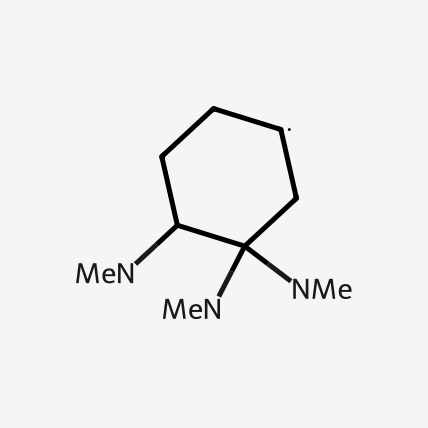 CNC1CC[CH]CC1(NC)NC